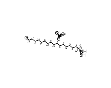 C[N+](C)(CCCCCCCCCCCCCCCC=O)NS.O=[N+]([O-])[O-]